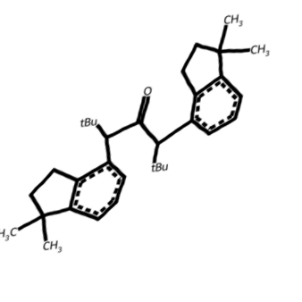 CC1(C)CCc2c(C(C(=O)C(c3cccc4c3CCC4(C)C)C(C)(C)C)C(C)(C)C)cccc21